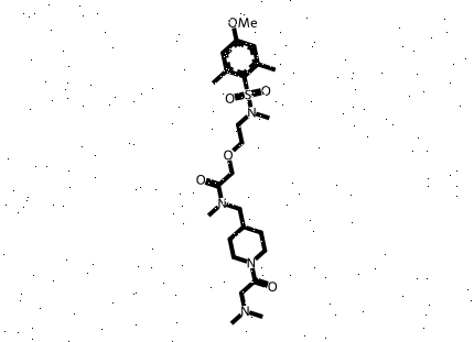 COc1cc(C)c(S(=O)(=O)N(C)CCOCC(=O)N(C)CC2CCN(C(=O)CN(C)C)CC2)c(C)c1